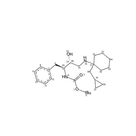 CC(C)(C)OC(=O)N[C@@H](Cc1ccccc1)[C@H](O)CNC1(CC2CC2)CCCCC1